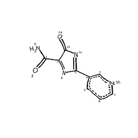 NC(=O)C1=NC(c2cccnc2)=NC1=O